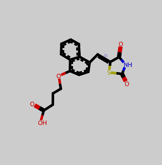 O=C(O)CCCOc1ccc(/C=C2\SC(=O)NC2=O)c2ccccc12